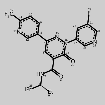 CC[C@@H](NC(=O)c1cc(-c2ccc(C(F)(F)F)nc2)nn(-c2cncc(F)c2)c1=O)C(C)C